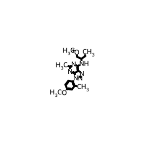 CCC(COC)Nc1nc(C)nc2c1nnn2-c1ccc(OC)cc1C